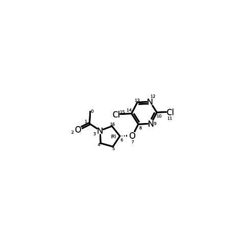 CC(=O)N1CC[C@@H](Oc2nc(Cl)ncc2Cl)C1